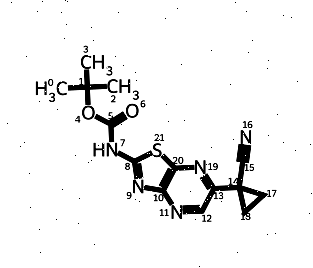 CC(C)(C)OC(=O)Nc1nc2ncc(C3(C#N)CC3)nc2s1